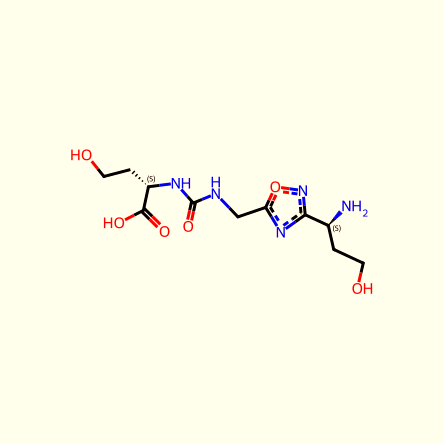 N[C@@H](CCO)c1noc(CNC(=O)N[C@@H](CCO)C(=O)O)n1